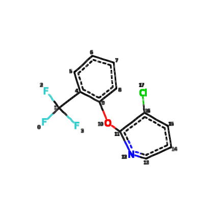 FC(F)(F)c1ccccc1Oc1ncccc1Cl